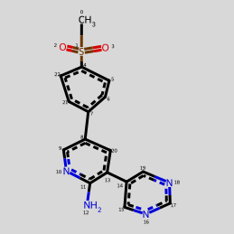 CS(=O)(=O)c1ccc(-c2cnc(N)c(-c3cncnc3)c2)cc1